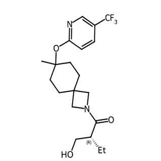 CC[C@H](CO)C(=O)N1CC2(CCC(C)(Oc3ccc(C(F)(F)F)cn3)CC2)C1